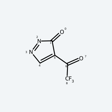 O=C1N=NC=C1C(=O)C(F)(F)F